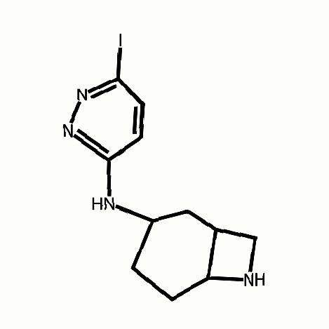 Ic1ccc(NC2CCC3NCC3C2)nn1